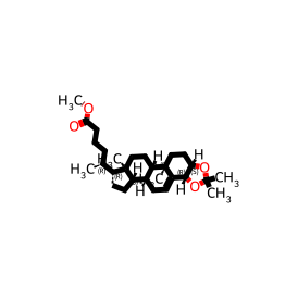 COC(=O)CCC[C@@H](C)[C@H]1CC[C@H]2[C@@H]3CC=C4[C@H]5OC(C)(C)O[C@H]5CC[C@]4(C)[C@H]3CC[C@]12C